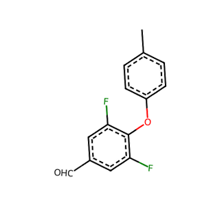 Cc1ccc(Oc2c(F)cc(C=O)cc2F)cc1